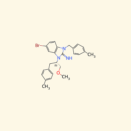 COC[C@H](Cc1ccc(C)cc1)n1c(=N)n(Cc2ccc(C)cc2)c2ccc(Br)cc21